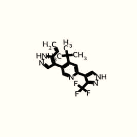 C=Cc1[nH]ncc1-c1cnc(-c2c[nH]nc2C(F)(F)F)cc1C(C)(C)C